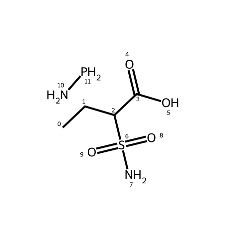 CCC(C(=O)O)S(N)(=O)=O.NP